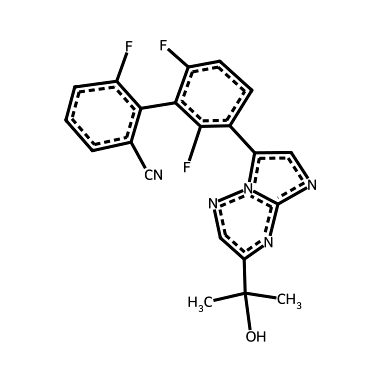 CC(C)(O)c1cnn2c(-c3ccc(F)c(-c4c(F)cccc4C#N)c3F)cnc2n1